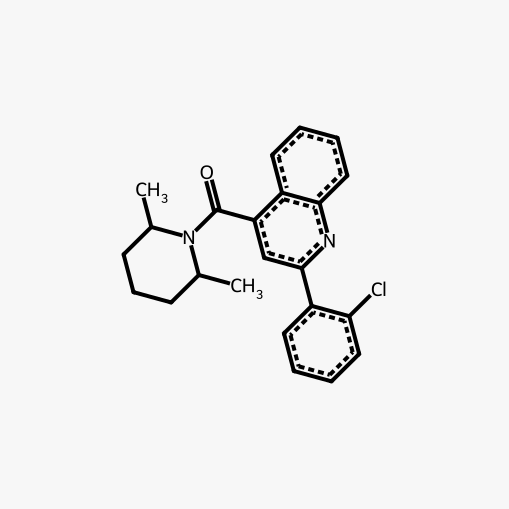 CC1CCCC(C)N1C(=O)c1cc(-c2ccccc2Cl)nc2ccccc12